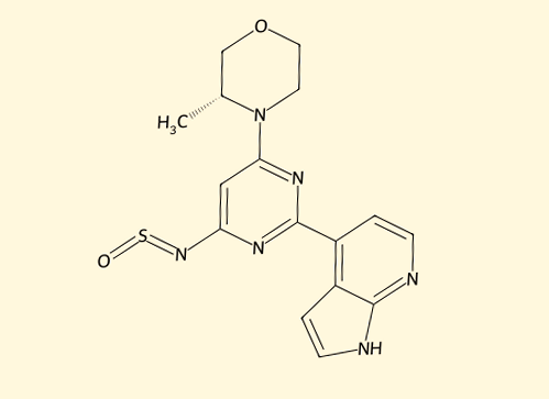 C[C@@H]1COCCN1c1cc(N=S=O)nc(-c2ccnc3[nH]ccc23)n1